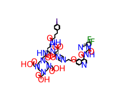 COC(=O)C[C@H](NC(=O)[C@H](CCCNC(=O)CCCc1ccc(I)cc1)NC(=O)CN1CCN(CC(=O)O)CCN(CC(=O)O)CCN(CC(=O)O)CC1)C(=O)N1CCN(CCCOc2ccc3nccc(C(=O)NCC(=O)N4CC(F)(F)C[C@@H]4C#N)c3c2)CC1